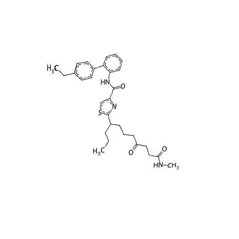 CCCC(CCCC(=O)CCC(=O)NC)c1nc(C(=O)Nc2ccccc2-c2ccc(CC)cc2)cs1